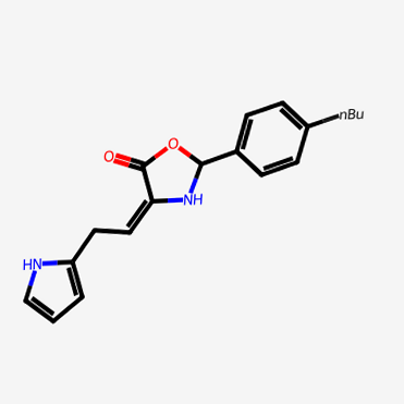 CCCCc1ccc(C2N/C(=C/Cc3ccc[nH]3)C(=O)O2)cc1